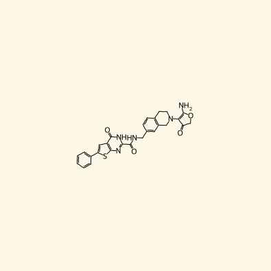 NC1=C(N2CCc3ccc(CNC(=O)c4nc5sc(-c6ccccc6)cc5c(=O)[nH]4)cc3C2)C(=O)CO1